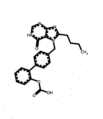 CCCCc1nc2nc[nH]c(=O)c2n1Cc1ccc(-c2ccccc2OC(=O)O)cc1